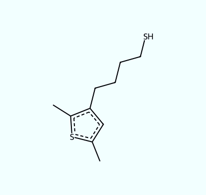 Cc1cc(CCCCS)c(C)s1